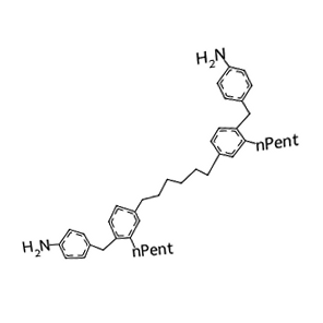 CCCCCc1cc(CCCCCCc2ccc(Cc3ccc(N)cc3)c(CCCCC)c2)ccc1Cc1ccc(N)cc1